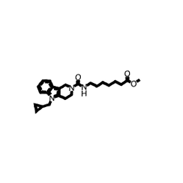 COC(=O)CCCCCCNC(=O)N1CCc2c(c3ccccc3n2CC2CC2)C1